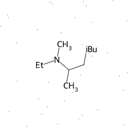 CCC(C)CC(C)N(C)CC